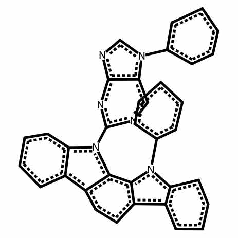 c1ccc(-n2cnc3nc(-n4c5ccccc5c5ccc6c7ccccc7n(-c7ccccc7)c6c54)ncc32)cc1